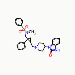 CN(CC1(c2ccccc2)CC1CN1CCC(n2c(=O)[nH]c3ccccc32)CC1)S(=O)(=O)c1ccccc1